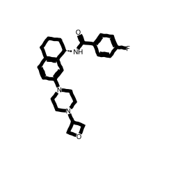 O=C(N[C@H]1[CH]CCc2ccc(N3CCN(C4COC4)CC3)cc21)c1ccc(F)cc1